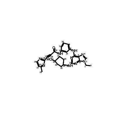 CCn1cnc2c(Nc3cccc(NC(=O)C#Cc4nccc(C)n4)c3)nc(NC3CCC(O)CC3)nc21